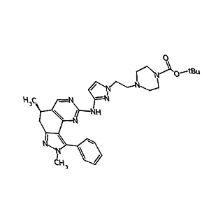 C[C@@H]1Cc2nn(C)c(-c3ccccc3)c2-c2nc(Nc3ccn(CCN4CCN(C(=O)OC(C)(C)C)CC4)n3)ncc21